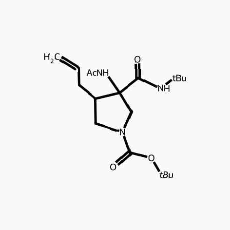 C=CCC1CN(C(=O)OC(C)(C)C)CC1(NC(C)=O)C(=O)NC(C)(C)C